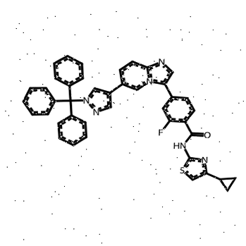 O=C(Nc1nc(C2CC2)cs1)c1ccc(-c2cnc3ccc(-c4cnn(C(c5ccccc5)(c5ccccc5)c5ccccc5)c4)cn23)cc1F